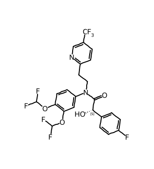 O=C([C@@H](O)c1ccc(F)cc1)N(CCc1ccc(C(F)(F)F)cn1)c1ccc(OC(F)F)c(OC(F)F)c1